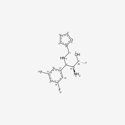 C[C@@H](O)[C@@H](N)C(NCc1ccco1)c1cc(F)cc(F)c1